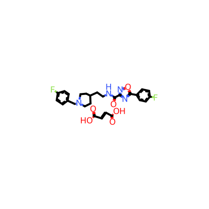 O=C(NCCC1CCN(Cc2ccc(F)cc2)CC1)c1noc(-c2ccc(F)cc2)n1.O=C(O)C=CC(=O)O